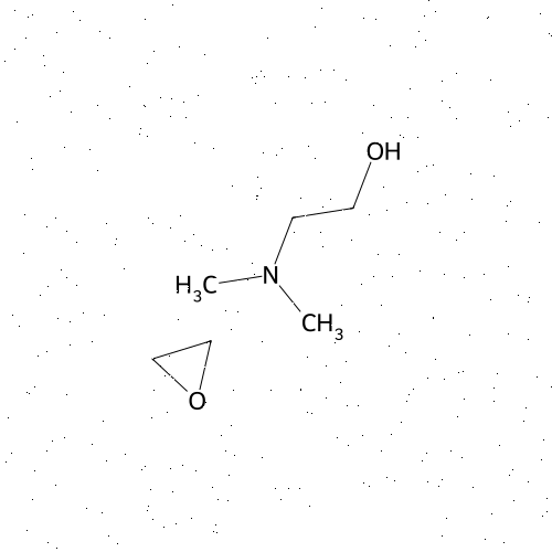 C1CO1.CN(C)CCO